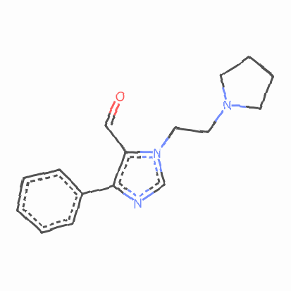 O=Cc1c(-c2ccccc2)ncn1CCN1CCCC1